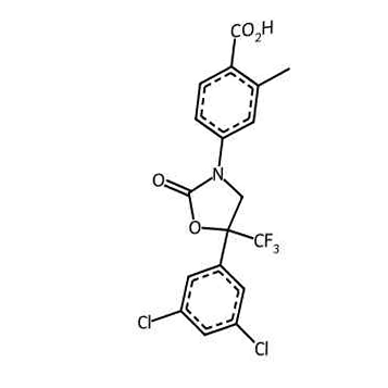 Cc1cc(N2CC(c3cc(Cl)cc(Cl)c3)(C(F)(F)F)OC2=O)ccc1C(=O)O